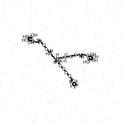 O=C(CCOCCOCCn1cc(CCO[C@@H]2O[C@H](CO)[C@H](O)[C@H](O)[C@H]2O)nn1)NCCCC[C@@H](NC(=O)CCCNC(=O)CCOCCOCCn1cc(CCO[C@@H]2O[C@H](CO)[C@H](O)[C@H](O)[C@H]2O)nn1)C(=O)NCCOCCOCCOCCOCCC(=O)Oc1c(F)c(F)c(F)c(F)c1F